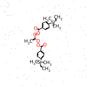 C=C[Si](C)(C)c1ccc(C(=O)OOC(=C)OOC(=O)c2ccc([Si](C)(C)C=C)cc2)cc1